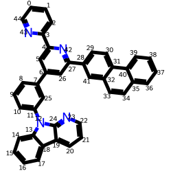 c1ccc(-c2cc(-c3cccc(-n4c5ccccc5c5cccnc54)c3)cc(-c3ccc4c(ccc5ccccc54)c3)n2)nc1